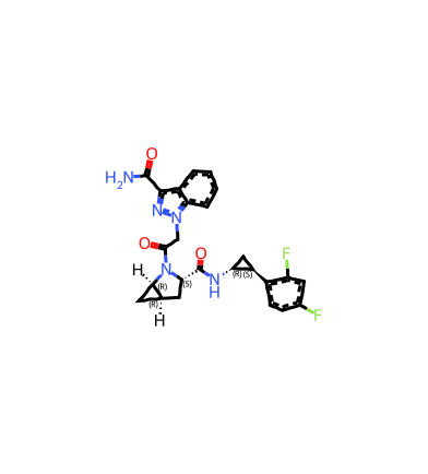 NC(=O)c1nn(CC(=O)N2[C@@H]3C[C@@H]3C[C@H]2C(=O)N[C@@H]2C[C@H]2c2ccc(F)cc2F)c2ccccc12